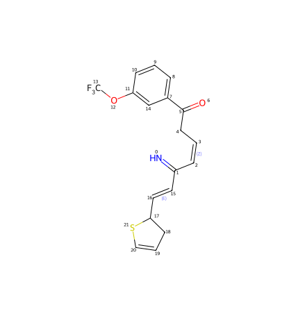 N=C(/C=C\CC(=O)c1cccc(OC(F)(F)F)c1)/C=C/C1CC=CS1